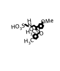 COc1ccc2c(c1)c(CC(=O)NCCS(=O)(=O)O)c(C)n2C(=O)c1ccc(C)cc1